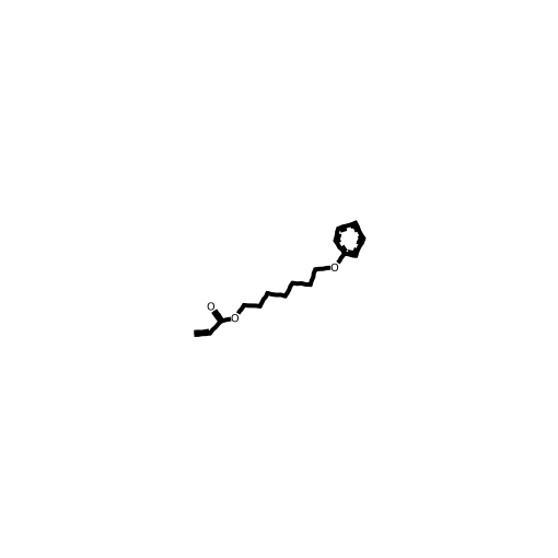 C=CC(=O)OCCCCCCCOc1ccccc1